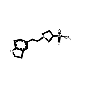 O=S(=O)(C1CCN(CCc2ccc3c(c2)CCO3)C1)C(F)(F)F